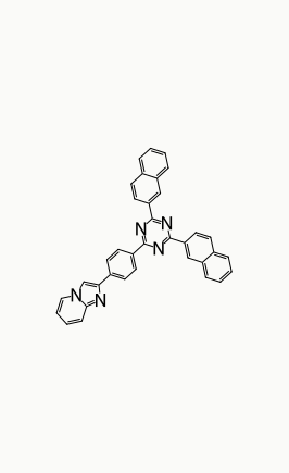 c1ccc2cc(-c3nc(-c4ccc(-c5cn6ccccc6n5)cc4)nc(-c4ccc5ccccc5c4)n3)ccc2c1